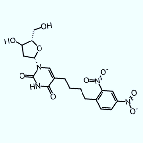 O=c1[nH]c(=O)n([C@@H]2CC(O)[C@H](CO)O2)cc1CCCCc1ccc([N+](=O)[O-])cc1[N+](=O)[O-]